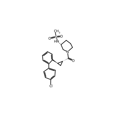 CS(=O)(=O)N[C@@H]1CCCN(C(=O)[C@@H]2C[C@H]2c2ccccc2-c2ccc(Cl)cc2)C1